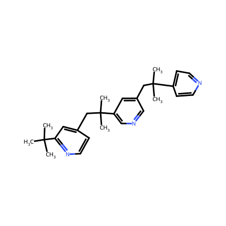 CC(C)(C)c1cc(CC(C)(C)c2cncc(CC(C)(C)c3ccncc3)c2)ccn1